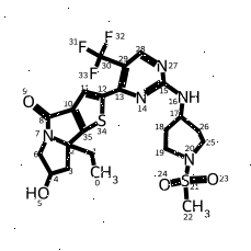 CCC12CC(O)CN1C(=O)c1cc(-c3nc(NC4CCN(S(C)(=O)=O)CC4)ncc3C(F)(F)F)sc12